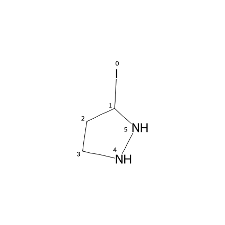 IC1CCNN1